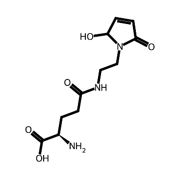 N[C@H](CCC(=O)NCCN1C(=O)C=CC1O)C(=O)O